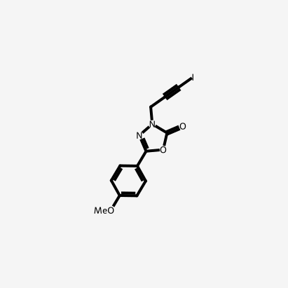 COc1ccc(-c2nn(CC#CI)c(=O)o2)cc1